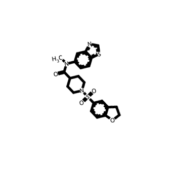 CN(C(=O)C1CCN(S(=O)(=O)c2ccc3c(c2)CCO3)CC1)c1ccc2scnc2c1